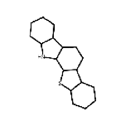 C1CCC2C(C1)NC1C2CCC2C3CCCCC3SC21